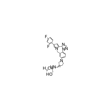 C[C@H](CO)NC[C@@H]1CCN(c2ccc3c(c2)Cn2cc(-c4ccc(F)cc4F)cc2-c2ncnn2-3)C1